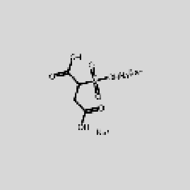 O=C(O)CC(C(=O)O)S(=O)(=O)O.[Na+].[Na+].[Na+]